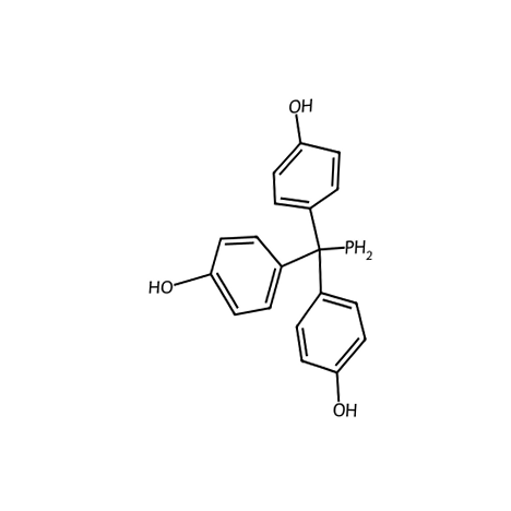 Oc1ccc(C(P)(c2ccc(O)cc2)c2ccc(O)cc2)cc1